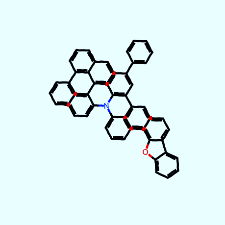 c1ccc(-c2ccc(N(c3cccc(-c4cccc5c4oc4ccccc45)c3)c3ccccc3-c3cccc4cccc(-c5ccccc5)c34)c(-c3ccccc3)c2)cc1